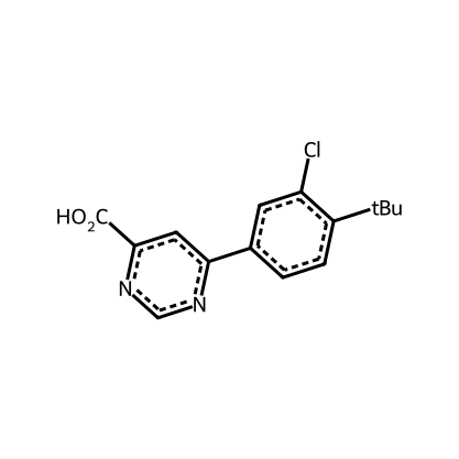 CC(C)(C)c1ccc(-c2cc(C(=O)O)ncn2)cc1Cl